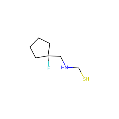 FC1(CNCS)CCCC1